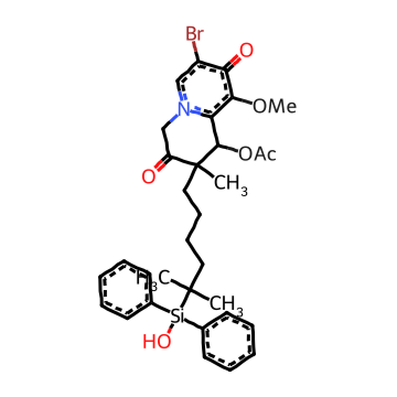 COc1c2n(cc(Br)c1=O)CC(=O)C(C)(CCCCC(C)(C)[Si](O)(c1ccccc1)c1ccccc1)C2OC(C)=O